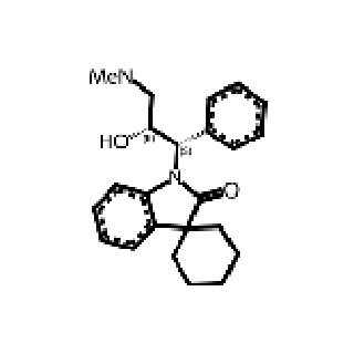 CNC[C@@H](O)[C@H](c1ccccc1)N1C(=O)C2(CCCCC2)c2ccccc21